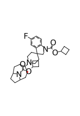 O=C(OC1CCC1)N1CC2(CCN(C3CCC4CCC(CC3)N4C(=O)OC3CCC3)CC2)c2cc(F)ccc21